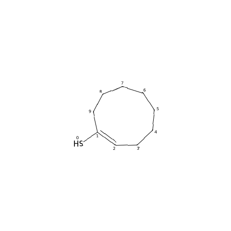 SC1=CCCCCCCC1